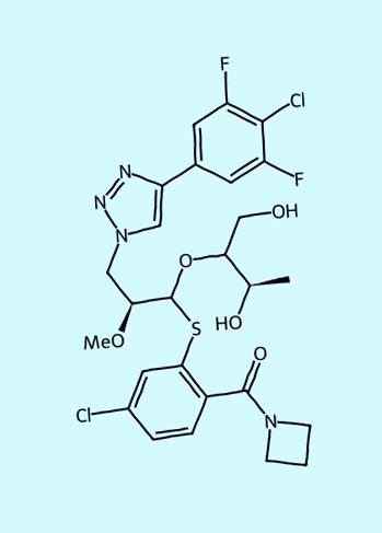 CO[C@@H](Cn1cc(-c2cc(F)c(Cl)c(F)c2)nn1)C(OC(CO)[C@@H](C)O)Sc1cc(Cl)ccc1C(=O)N1CCC1